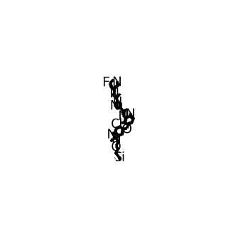 Cc1nc2ccc(Oc3ccc4ncc(-c5cnn(C6CN(c7cncc(F)c7)C6)c5)nc4c3Cl)cc2n1COCC[Si](C)(C)C